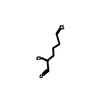 O=CC(Cl)CCCCCl